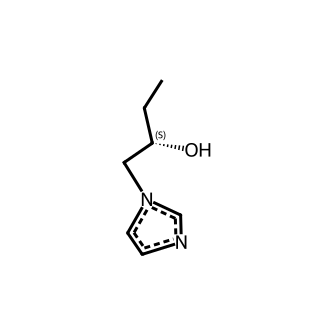 CC[C@H](O)Cn1ccnc1